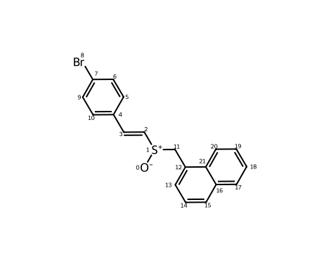 [O-][S+](/C=C/c1ccc(Br)cc1)Cc1cccc2ccccc12